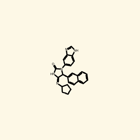 O=C1N/C(=N/C2CCCC2)C(c2ccc3ccccc3c2)N1c1ccc2[nH]cnc2c1